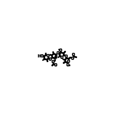 COC1C(C)[C@@H](O[C@@H]2C(COC(C)=O)O[C@H](OC)C(C)[C@H]2C)O[C@@H](C)[C@H]1O[C@H]1O[C@@H](COC(C)=O)[C@@H](O[C@@H]2OC(C)[C@@H](O)[C@H](C)C2C)C(C)C1C